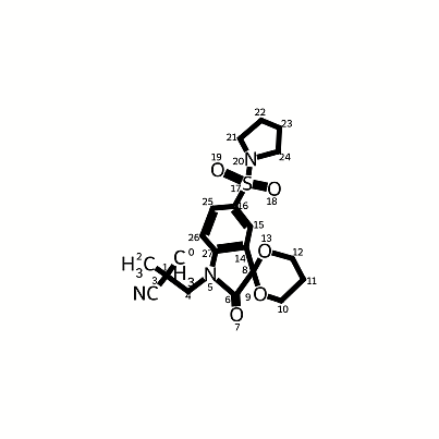 CC(C)(C#N)CN1C(=O)C2(OCCCO2)c2cc(S(=O)(=O)N3CCCC3)ccc21